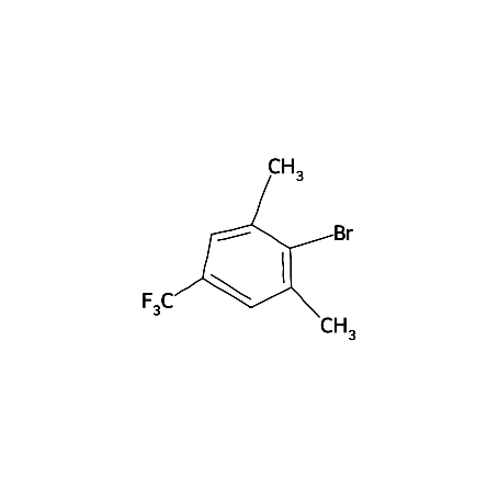 Cc1cc(C(F)(F)F)cc(C)c1Br